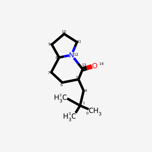 CC(C)(C)CC1CCC2CCCN2C1=O